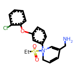 CCS(=O)(=O)[N+]1(c2cccc(Oc3ccccc3Cl)c2)C=C(CN)C=CC1